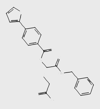 O=C(O)CC[C@H](NC(=O)c1ccc(-c2ccco2)cc1)C(=O)NCc1ccccc1